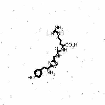 N=C(N)NCCCC(NC(=O)NCc1nc([C@@H](N)Cc2ccc(O)cc2)no1)C(=O)O